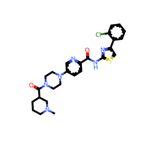 CN1CCCC(C(=O)N2CCN(c3ccc(C(=O)Nc4nc(-c5ccccc5Cl)cs4)nc3)CC2)C1